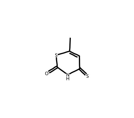 Cc1cc(=S)[nH]c(=O)s1